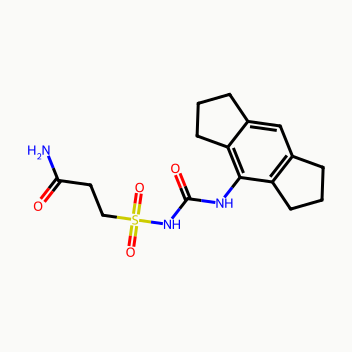 NC(=O)CCS(=O)(=O)NC(=O)Nc1c2c(cc3c1CCC3)CCC2